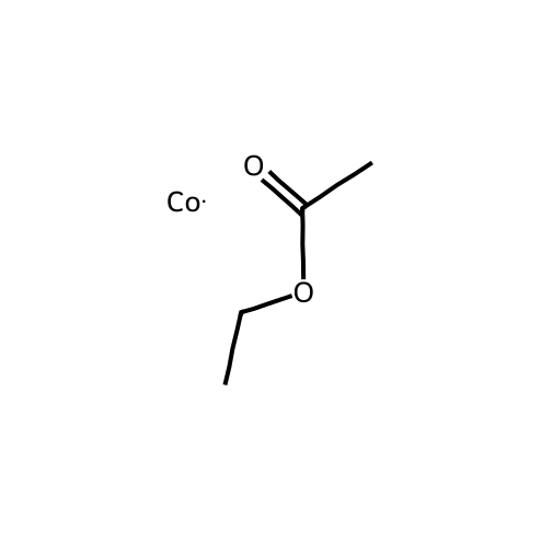 CCOC(C)=O.[Co]